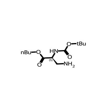 CCCCOC(=O)[C@H](CN)NC(=O)OC(C)(C)C